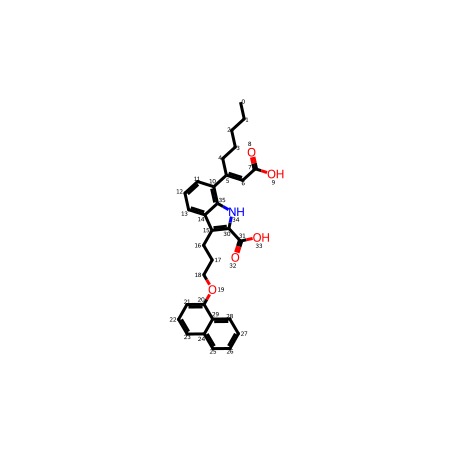 CCCCCC(=CC(=O)O)c1cccc2c(CCCOc3cccc4ccccc34)c(C(=O)O)[nH]c12